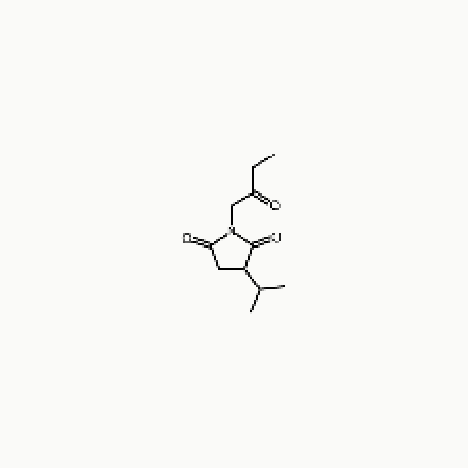 CCC(=O)CN1C(=O)CC(C(C)C)C1=O